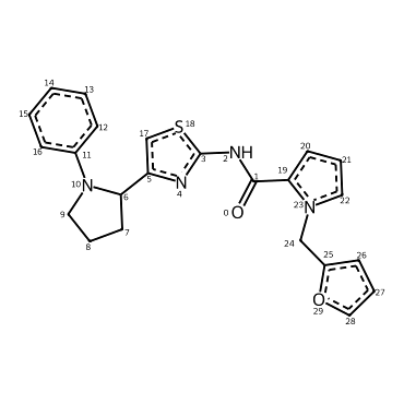 O=C(Nc1nc(C2CCCN2c2ccccc2)cs1)c1cccn1Cc1ccco1